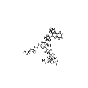 CCC(=O)CCCCCC(NC(=O)C1CN(C(=O)OC(C)(C)C)C1)c1ncc(-c2cc3ccccc3nc2OC)o1